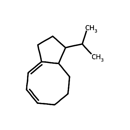 CC(C)C1CCC2=CC=CCCCC21